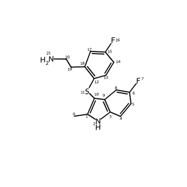 Cc1[nH]c2ccc(F)cc2c1Sc1ccc(F)cc1CCN